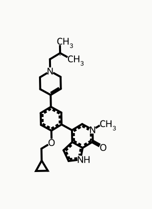 C[C](C)CN1CC=C(c2ccc(OCC3CC3)c(-c3cn(C)c(=O)c4[nH]ccc34)c2)CC1